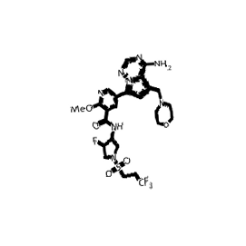 COc1ncc(-c2cc(CN3CCOCC3)c3c(N)ncnn23)cc1C(=O)NC1CN(S(=O)(=O)CCC(F)(F)F)CC1F